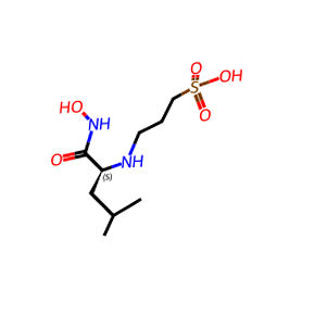 CC(C)C[C@H](NCCCS(=O)(=O)O)C(=O)NO